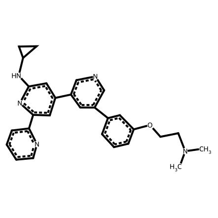 CN(C)CCOc1cccc(-c2cncc(-c3cc(NC4CC4)nc(-c4ccccn4)c3)c2)c1